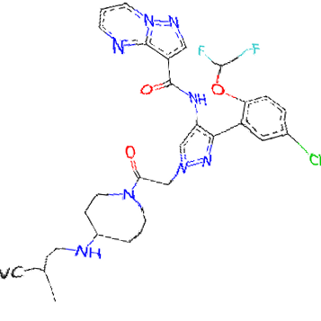 CC(C#N)CNC1CCN(C(=O)Cn2cc(NC(=O)c3cnn4cccnc34)c(-c3cc(Cl)ccc3OC(F)F)n2)CC1